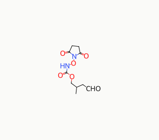 CC(CC=O)COC(=O)NON1C(=O)CCC1=O